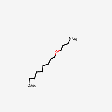 CNCCCOCCCCCCCCOC